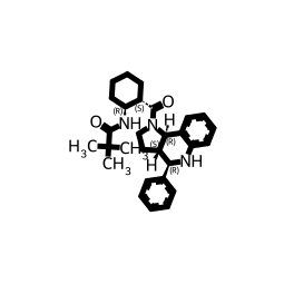 CC(C)(C)C(=O)N[C@@H]1CCCC[C@@H]1C(=O)N1CC[C@H]2[C@H](c3ccccc3)Nc3ccccc3[C@@H]21